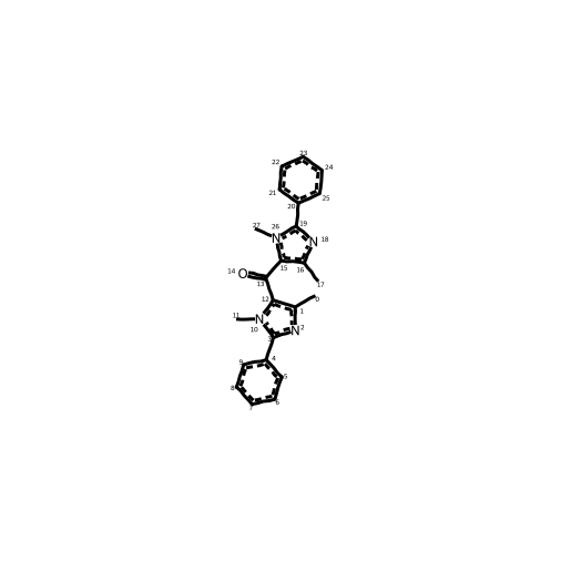 Cc1nc(-c2ccccc2)n(C)c1C(=O)c1c(C)nc(-c2ccccc2)n1C